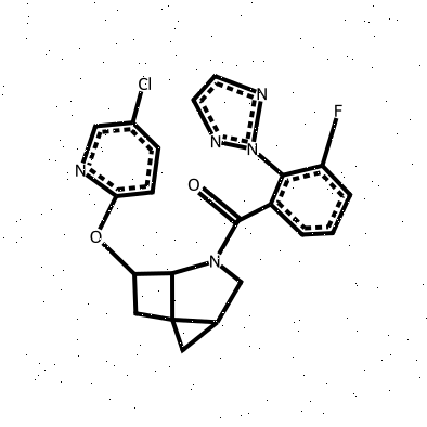 O=C(c1cccc(F)c1-n1nccn1)N1CC2CC23CC(Oc2ccc(Cl)cn2)C13